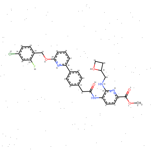 COC(=O)c1ccc(NC(=O)Cc2ccc(-c3cccc(OCc4ccc(Cl)cc4F)n3)cc2)c(NCC2CCO2)n1